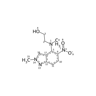 CN(CCO)c1c([N+](=O)[O-])ccc2nn(C)cc12